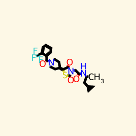 CC(CC1CC1)NC(=O)CN1C(=O)SC(=C2CCN(C(=O)c3ccccc3C(F)(F)F)CC2)C1=O